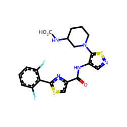 O=C(O)NC1CCCN(c2sncc2NC(=O)c2csc(-c3c(F)cccc3F)n2)C1